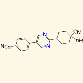 CCCCCCCCCc1ccc(-c2cnc(C3CCC(C#N)(CCCCCC)CC3)nc2)cc1